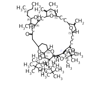 C=C1C[C@@H]2CCC(=O)/C=C/[C@H](O[Si](C)(C)C(C)(C)C)[C@@H]3O[C@H]4CCC(CC(=O)C[C@@H]5[C@@H](C)[C@@H](C[C@H](C)CC)O[C@H]5CC5O[C@@H](CCC1O2)C[C@@H](C)C5=C)O[C@@H]4[C@H](O[Si](C)(C)C(C)(C)C)[C@@H]3O[Si](C)(C)C(C)(C)C